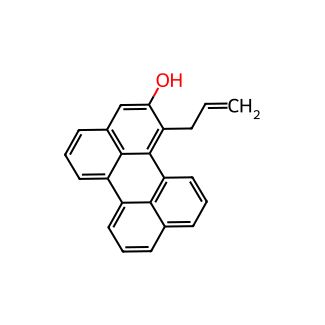 C=CCc1c(O)cc2cccc3c4cccc5cccc(c1c23)c54